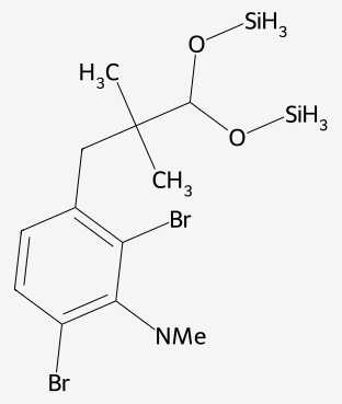 CNc1c(Br)ccc(CC(C)(C)C(O[SiH3])O[SiH3])c1Br